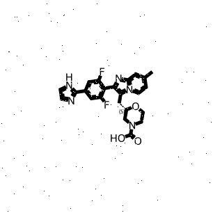 Cc1ccn2c(C[C@H]3CN(C(=O)O)CCO3)c(-c3c(F)cc(-c4ncc[nH]4)cc3F)nc2c1